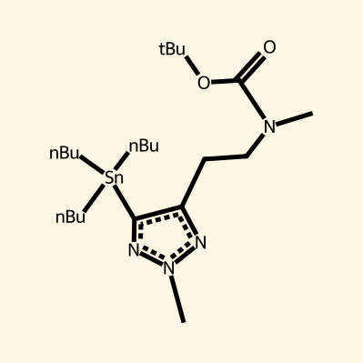 CCC[CH2][Sn]([CH2]CCC)([CH2]CCC)[c]1nn(C)nc1CCN(C)C(=O)OC(C)(C)C